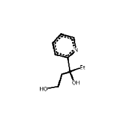 CCC(O)(CCO)c1ccccn1